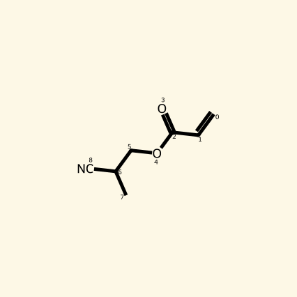 C=CC(=O)OCC(C)C#N